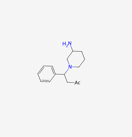 CC(=O)CC(c1ccccc1)N1CCCC(N)C1